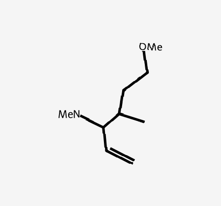 C=CC(NC)C(C)CCOC